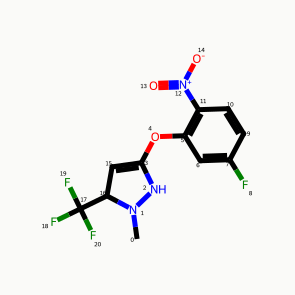 CN1NC(Oc2cc(F)ccc2[N+](=O)[O-])=CC1C(F)(F)F